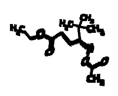 CCOC(=O)/C=C/C(=N\OC(C)=O)C(C)(C)C